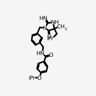 CC(C)CC1(C)NC(=N)N(Cc2cccc(CNC(=O)c3ccc(OC(C)C)cc3)c2)C1=O